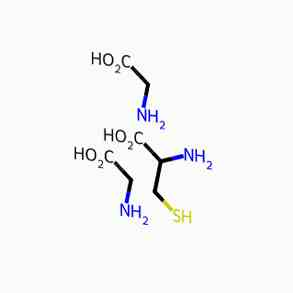 NC(CS)C(=O)O.NCC(=O)O.NCC(=O)O